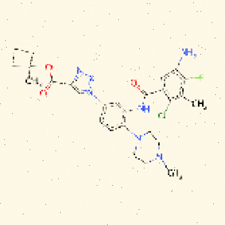 Cc1c(F)c(N)cc(C(=O)Nc2cc(-n3cc(C(=O)OC4(C)CCC4)nn3)ccc2N2CCN(C)CC2)c1Cl